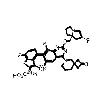 N#Cc1c(NC(=O)O)sc2c(F)ccc(-c3c(Cl)cc4c(N5CCCC6(CC(=O)C6)C5)nc(OC[C@@]56CCCN5C[C@H](F)C6)nc4c3F)c12